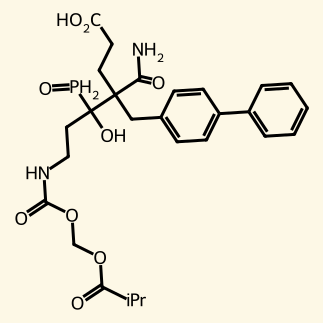 CC(C)C(=O)OCOC(=O)NCCC(O)([PH2]=O)C(CCC(=O)O)(Cc1ccc(-c2ccccc2)cc1)C(N)=O